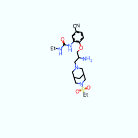 CCNC(=O)Nc1cc(C#N)ccc1OCC(N)CN1CC2CC(C1)CN(S(=O)(=O)CC)C2